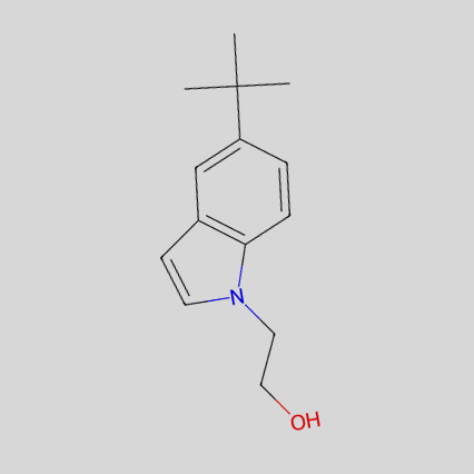 CC(C)(C)c1ccc2c(ccn2CCO)c1